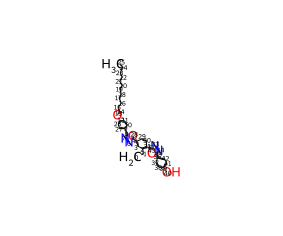 C=Cc1cc(-c2nnc(-c3ccc(OCCCCCCCCCCCC)cc3)o2)ccc1-c1nnc(-c2ccc(O)cc2)o1